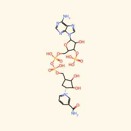 NC(=O)c1ccc[n+]([C@@H]2CC(COP(=O)(O)OP(=O)(O)OCC3OC(n4cnc5c(N)ncnc54)C(O)C3OP(=O)(O)O)C(O)C2O)c1